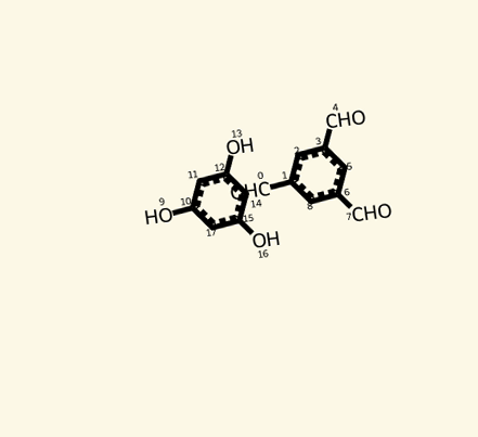 O=Cc1cc(C=O)cc(C=O)c1.Oc1cc(O)cc(O)c1